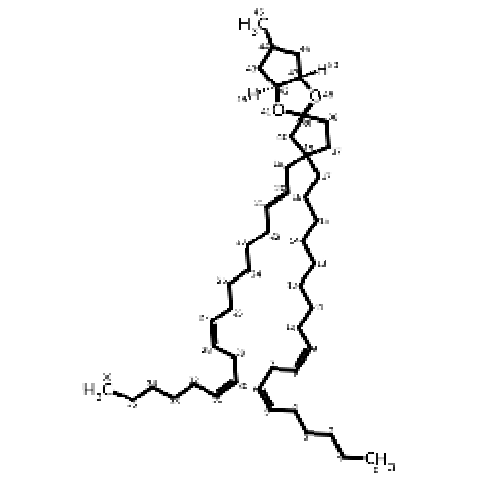 CCCCC/C=C\C/C=C\CCCCCCCCC1(CCCCCCCC/C=C\C/C=C\CCCCC)CCC2(C1)O[C@H]1CC(C)C[C@@H]1O2